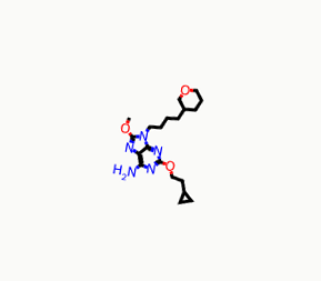 COc1nc2c(N)nc(OCCC3CC3)nc2n1CCCCC1CCCOC1